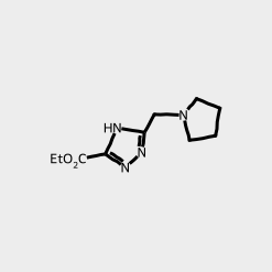 CCOC(=O)c1nnc(CN2CCCC2)[nH]1